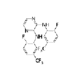 Fc1ccc(C(F)(F)F)cc1Nc1nccnc1Nc1cc(C(F)(F)F)ccc1F